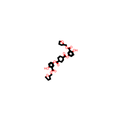 O=C(OCC1CCCO1)c1cc(OC(=O)C2CCC(C(=O)Oc3ccc(O)c(C(=O)OCC4CCCO4)c3)CC2)ccc1O